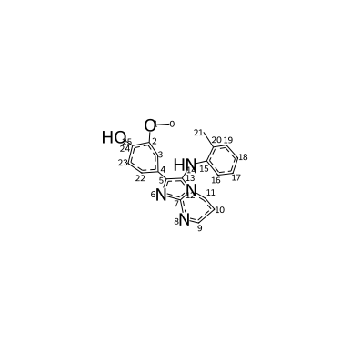 COc1cc(-c2nc3ncccn3c2Nc2ccccc2C)ccc1O